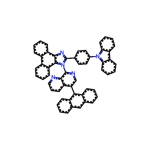 c1ccc2c(-c3cnc(-n4c(-c5ccc(-n6c7ccccc7c7ccccc76)cc5)nc5c6ccccc6c6ccccc6c54)c4ncccc34)c3ccccc3cc2c1